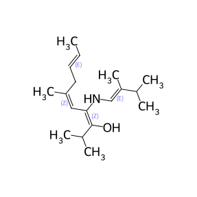 C/C=C/C/C(C)=C\C(N/C=C(\C)C(C)C)=C(\O)C(C)C